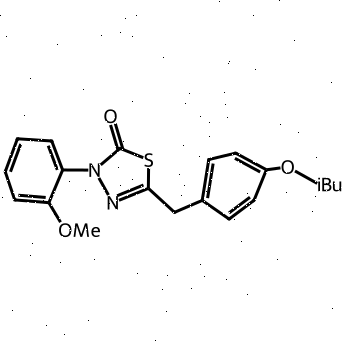 CCC(C)Oc1ccc(Cc2nn(-c3ccccc3OC)c(=O)s2)cc1